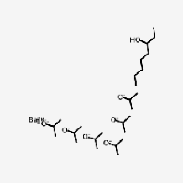 CC(C)[O-].CC(C)[O-].CC(C)[O-].CC(C)[O-].CC(C)[O-].CC(C)[O-].CCCCCC(O)CC.[Ba+2].[Ti+4]